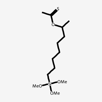 CO[Si](CCCCCCC(C)OC(C)=S)(OC)OC